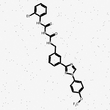 CCc1ccccc1NC(=S)NC(=O)NCc1cccc(-c2ncn(-c3ccc(OC(F)(F)F)cc3)n2)c1